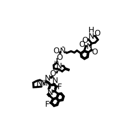 C#Cc1c(F)ccc2cccc(-c3ncc4c(N5CC6CCC(C5)N6)nc(OC[C@@]56CC[C@@H](COC(=O)N(C)CCCCc7cccc8c7C(=O)N(C7CCC(=O)NC7=O)C8=O)N5CC(=C)C6)nc4c3F)c12